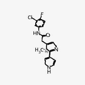 C[C@@H]1C(CC(=O)Nc2ccc(F)c(Cl)c2)=CCN=C1C1=CCNC=C1